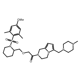 COc1cc(C)c(S(=O)(=O)N2CCCCC2COCC(=O)N2CCn3c(CN4CCN(C)CC4)ccc3C2)c(C)c1